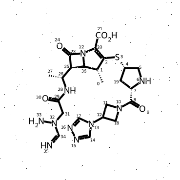 C[C@H]1C(S[C@@H]2CN[C@H](C(=O)N3CC(n4cnnc4)C3)C2)=C(C(=O)O)N2C(=O)[C@H]([C@@H](C)NC(=O)CN(N)C=N)C12